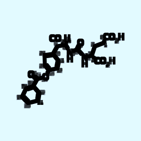 O=C(O)CC[C@H](NC(=O)N[C@@H](Cc1ccc(OC(=O)c2ccccc2)cc1)C(=O)O)C(=O)O